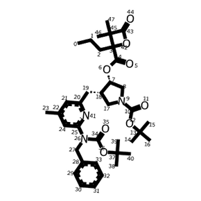 CCCC1(C(=O)O[C@@H]2CN(C(=O)OC(C)(C)C)C[C@@H]2Cc2cc(C)cc(N(Cc3ccccc3)C(=O)OC(C)(C)C)n2)OC(=O)C1(C)C